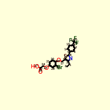 CCc1nc(-c2ccc(C(F)(F)F)cc2)sc1COc1ccc(OCC(=O)O)cc1Br